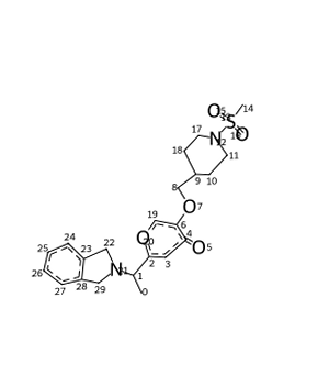 CC(c1cc(=O)c(OCC2CCN(S(C)(=O)=O)CC2)co1)N1Cc2ccccc2C1